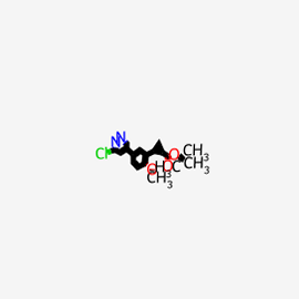 COc1ccc(-c2cnnc(Cl)c2)cc1C1CC1C(=O)OC(C)(C)C